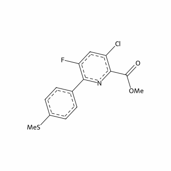 COC(=O)c1nc(-c2ccc(SC)cc2)c(F)cc1Cl